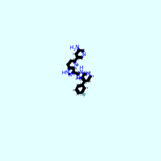 Nc1cncc(-c2ccc3[nH]nc(-c4nc5c(-c6cccc(F)c6)ccnc5[nH]4)c3n2)c1